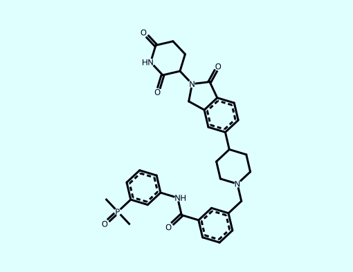 CP(C)(=O)c1cccc(NC(=O)c2cccc(CN3CCC(c4ccc5c(c4)CN(C4CCC(=O)NC4=O)C5=O)CC3)c2)c1